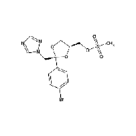 CS(=O)(=O)OC[C@@H]1CO[C@@](Cn2cncn2)(c2ccc(Br)cc2)O1